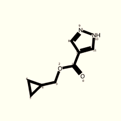 O=C(OCC1CC1)c1cn[nH]c1